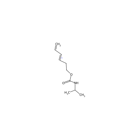 C=C/C=C/CCOC(=O)NC(C)C